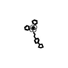 O=P(OCCCc1ccc(C2CCCC2)cc1)(Oc1ccccc1)Oc1ccccc1